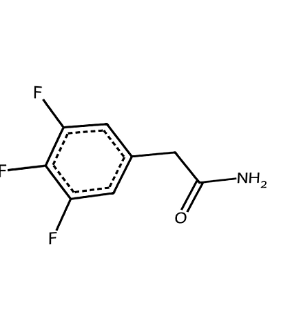 NC(=O)Cc1cc(F)c(F)c(F)c1